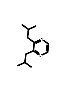 CC(C)Cc1nccnc1CC(C)C